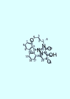 C[C@H]1/C=C/COc2ccccc2[C@@H](c2ccccc2)N2CN1C(=O)c1c(O)c(=O)ccn12